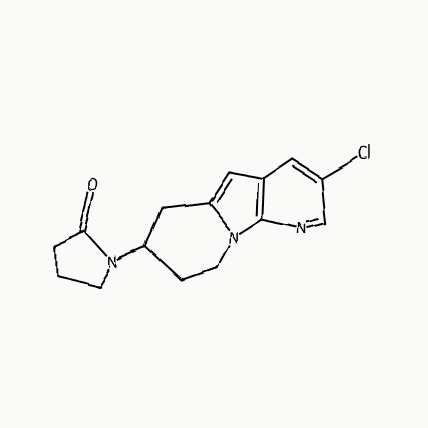 O=C1CCCN1C1CCn2c(cc3cc(Cl)cnc32)C1